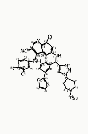 CC(C)(C)N1CCC(n2cc(C(Nc3cc(Cl)c4ncc(C#N)c(Nc5ccc(F)c(Cl)c5)c4c3)c3cccc(-c4ncco4)c3)nn2)CC1